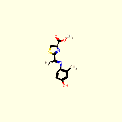 COC(=O)[C@@H]1CSC(/C(C)=N/c2ccc(O)cc2C)=N1